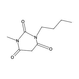 CCCCN1C(=O)CC(=O)N(C)C1=O